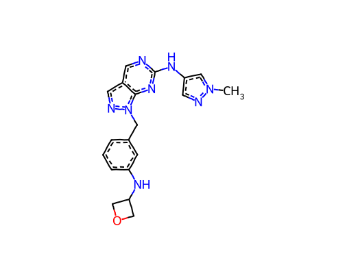 Cn1cc(Nc2ncc3cnn(Cc4cccc(NC5COC5)c4)c3n2)cn1